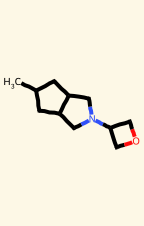 CC1CC2CN(C3COC3)CC2C1